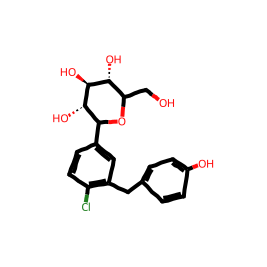 OCC1OC(c2ccc(Cl)c(Cc3ccc(O)cc3)c2)[C@H](O)[C@@H](O)[C@@H]1O